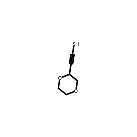 SC#CC1COCCO1